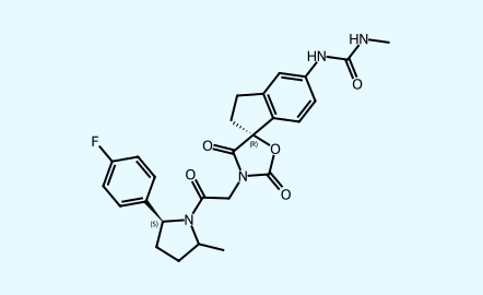 CNC(=O)Nc1ccc2c(c1)CC[C@@]21OC(=O)N(CC(=O)N2C(C)CC[C@H]2c2ccc(F)cc2)C1=O